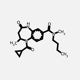 CCCCN(C)C(=O)c1ccc2c(c1)NC(=O)CC(C)N2C(=O)C1CC1